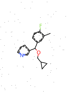 Cc1cc(C(OCC2CC2)c2cccnc2)ccc1F